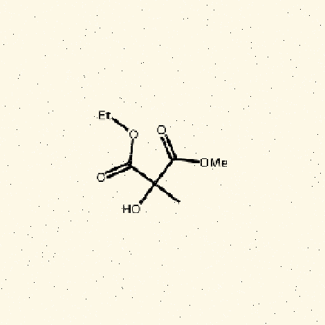 CCOC(=O)C(C)(O)C(=O)OC